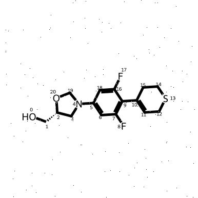 OC[C@H]1CN(c2cc(F)c(C3=CCSCC3)c(F)c2)CO1